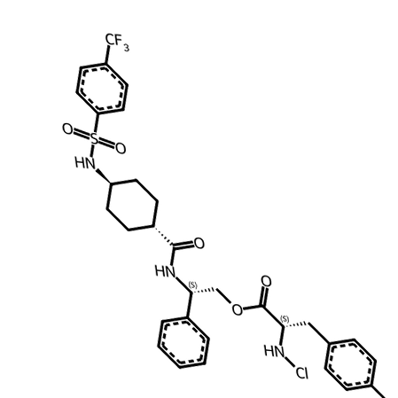 O=C(OC[C@@H](NC(=O)[C@H]1CC[C@H](NS(=O)(=O)c2ccc(C(F)(F)F)cc2)CC1)c1ccccc1)[C@H](Cc1ccc(O)cc1)NCl